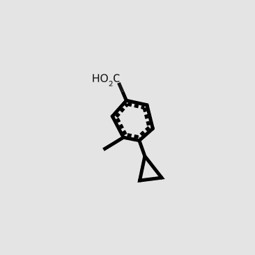 Cc1cc(C(=O)O)ccc1C1CC1